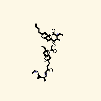 C=C(/C=C/C(=O)CCc1cc2c(cc(CC)n2C(=O)CS[C@H]2c3cc4sc(CCCC)cc4n3C(=O)/C(=C/C)C2C)s1)C1C[C@H]1/C=C\C